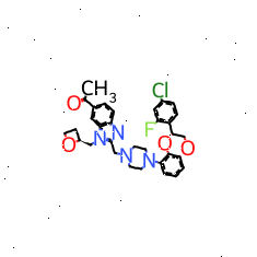 CC(=O)c1ccc2nc(CN3CCN(c4cccc5c4OC(c4ccc(Cl)cc4F)CO5)CC3)n(C[C@@H]3CCO3)c2c1